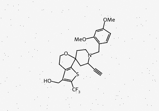 C#CC1CC2(CCN1Cc1ccc(OC)cc1OC)OCCc1c2sc(C(F)(F)F)c1CO